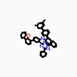 Cc1cc(C)cc(-c2ccc3c4ccccc4n(-c4ccc(-c5cccc6c5oc5ccccc56)cc4-c4nc(-c5ccccc5)nc(-c5ccccc5)n4)c3c2)c1